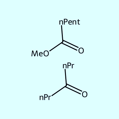 CCCC(=O)CCC.CCCCCC(=O)OC